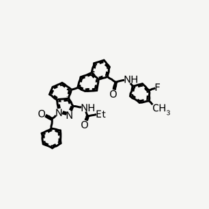 CCC(=O)Nc1nn(C(=O)c2ccccc2)c2cccc(-c3ccc4c(C(=O)Nc5ccc(C)c(F)c5)cccc4c3)c12